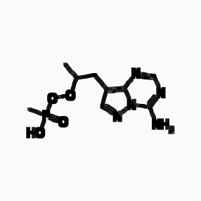 CC(Cc1cnn2c(N)ncnc12)OOP(C)(=O)O